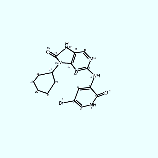 O=c1[nH]cc(Br)cc1Nc1ncc2[nH]c(=O)n(C3CCCCC3)c2n1